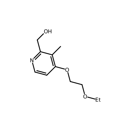 CCOCCOc1ccnc(CO)c1C